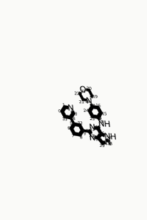 c1cncc(-c2cccc(-c3nc(Nc4ccc(N5CCOCC5)cc4)c4[nH]ncc4n3)c2)c1